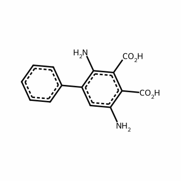 Nc1cc(-c2ccccc2)c(N)c(C(=O)O)c1C(=O)O